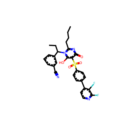 CCCCc1nc(=O)c(S(=O)(=O)c2ccc(-c3ccnc(F)c3F)cc2)c(O)n1C(CC)c1cccc(C#N)c1